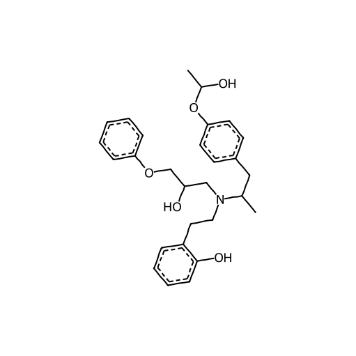 CC(O)Oc1ccc(CC(C)N(CCc2ccccc2O)CC(O)COc2ccccc2)cc1